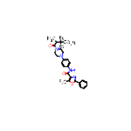 CCC(CC)(C(=O)O)C(C)C(=O)N1CCN(c2ccc(NC(=O)c3nc(-c4ccccc4)oc3C(F)(F)F)cc2)CC1